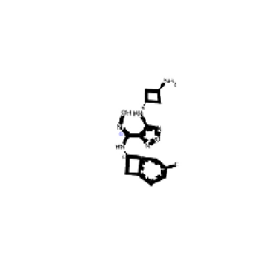 N[C@H]1C[C@H](Nc2nonc2/C(=N\O)N[C@H]2Cc3ccc(F)cc32)C1